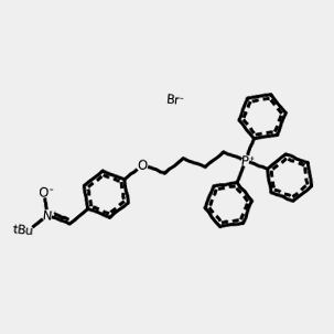 CC(C)(C)[N+]([O-])=Cc1ccc(OCCCC[P+](c2ccccc2)(c2ccccc2)c2ccccc2)cc1.[Br-]